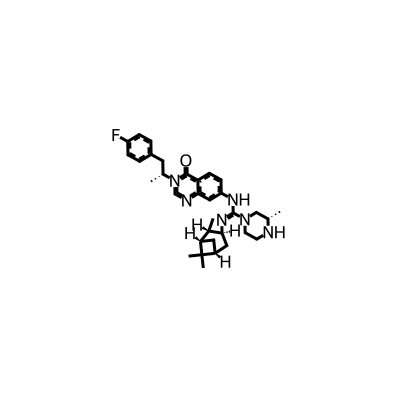 C[C@@H]1[C@@H](N=C(Nc2ccc3c(=O)n([C@H](C)Cc4ccc(F)cc4)cnc3c2)N2CCN[C@@H](C)C2)C[C@H]2C[C@@H]1C2(C)C